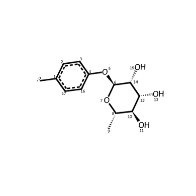 [CH2]c1ccc(O[C@@H]2O[C@@H](C)[C@H](O)[C@@H](O)[C@H]2O)cc1